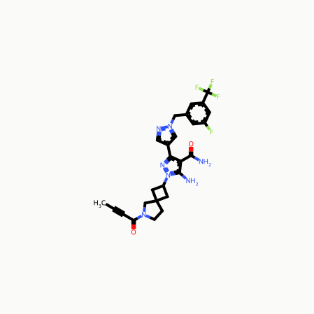 CC#CC(=O)N1CCC2(CC(n3nc(-c4cnn(Cc5cc(F)cc(C(F)(F)F)c5)c4)c(C(N)=O)c3N)C2)C1